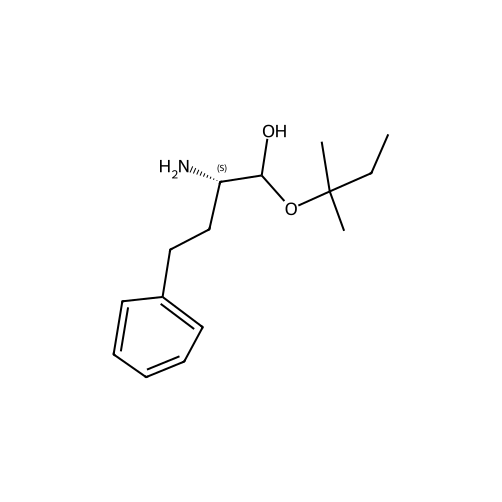 CCC(C)(C)OC(O)[C@@H](N)CCc1ccccc1